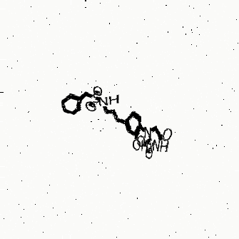 O=C1CN(c2ccc(CCCNS(=O)(=O)CC3CCCCC3)cc2O)S(=O)(=O)N1